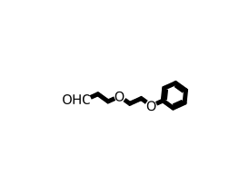 O=CCCOCCOc1ccccc1